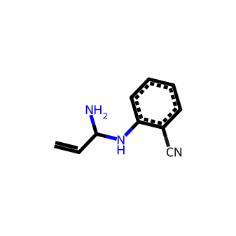 C=CC(N)Nc1ccccc1C#N